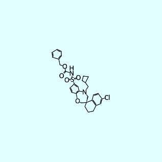 O=C(NS(=O)(=O)c1ccc2c(c1)N(CC1CCC1)C[C@@]1(CCCc3cc(Cl)ccc31)CO2)OCc1ccccc1